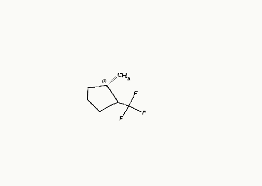 C[C@H]1CCCC1C(F)(F)F